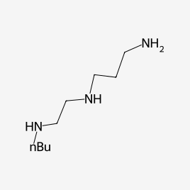 [CH2]CCCNCCNCCCN